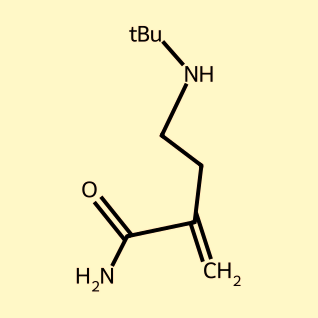 C=C(CCNC(C)(C)C)C(N)=O